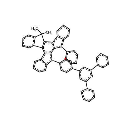 CC1(C)c2ccccc2-c2c1c1c3ccccc3n(-c3ccccc3)c1c1c2c2ccccc2n1-c1ccc(-c2cc(-c3ccccc3)nc(-c3ccccc3)c2)cc1